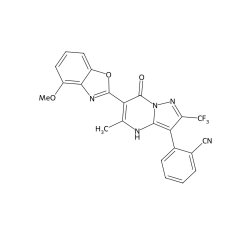 COc1cccc2oc(-c3c(C)[nH]c4c(-c5ccccc5C#N)c(C(F)(F)F)nn4c3=O)nc12